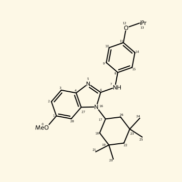 COc1ccc2nc(Nc3ccc(OC(C)C)cc3)n(C3CC(C)(C)CC(C)(C)C3)c2c1